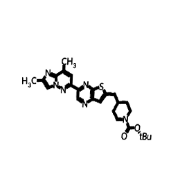 Cc1cn2nc(-c3cnc4cc(CC5CCN(C(=O)OC(C)(C)C)CC5)sc4n3)cc(C)c2n1